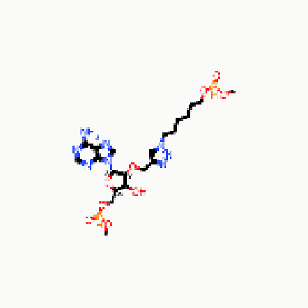 CO[PH](=O)OCCCCCCn1cc(CO[C@H]2C(O)[C@@H](CO[PH](=O)OC)O[C@H]2n2cnc3c(N)ncnc32)nn1